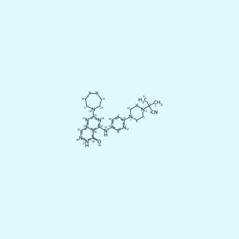 CC(C)(C#N)N1CCN(c2ccc(Nc3nc(N4CCCCCC4)nc4cn[nH]c(=O)c34)cn2)CC1